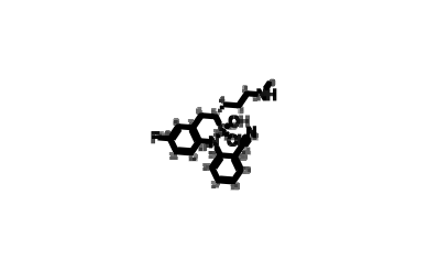 CNCCC[C@H]1Cc2cc(F)ccc2N(c2ccccc2C#N)S1(O)O